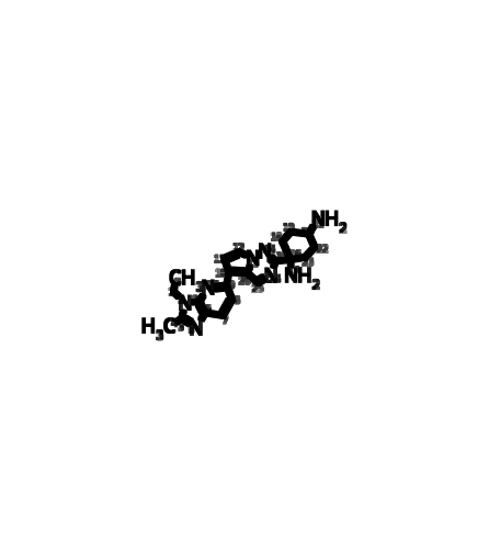 CCn1c(C)nc2ccc(-c3ccn4nc(C5(N)CCC(N)CC5)ncc34)nc21